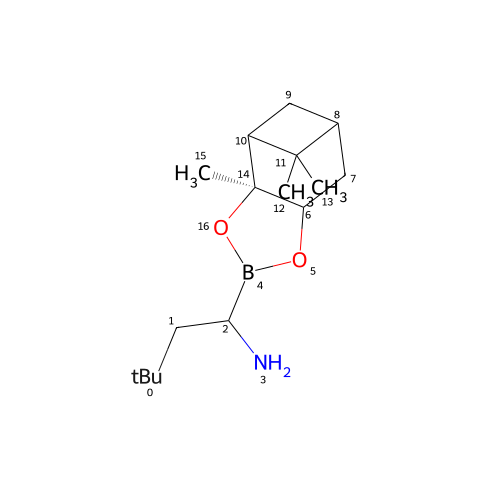 CC(C)(C)CC(N)B1OC2CC3CC(C3(C)C)[C@]2(C)O1